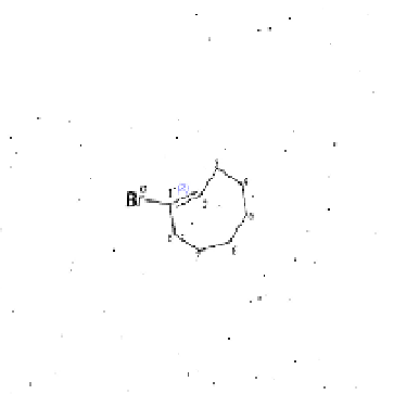 Br/C1=C\CCCCCC1